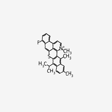 Cc1ccc2c(C(C)C)c3c(c(C)c2c1)-c1c2c(cc4c(F)cccc4c2cc[n+]1C)S3